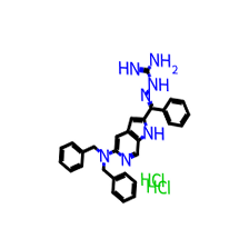 Cl.Cl.N=C(N)NN=C(c1ccccc1)c1cc2cc(N(Cc3ccccc3)Cc3ccccc3)ncc2[nH]1